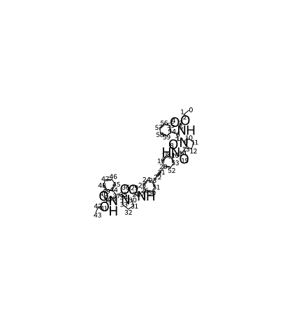 CCOC(=O)N[C@@H](C(=O)N1CCC[C@H]1C(=O)Nc1ccc(C#Cc2ccc(NC(=O)[C@@H]3CCCN3C(=O)[C@H](NC(=O)OCC)c3ccccc3)cc2)cc1)c1ccccc1